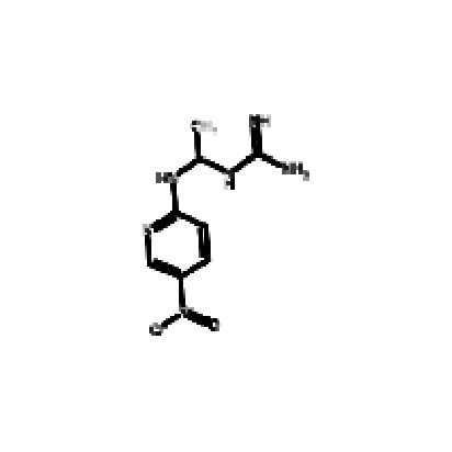 CC(NC(=N)N)Nc1ccc([N+](=O)[O-])cn1